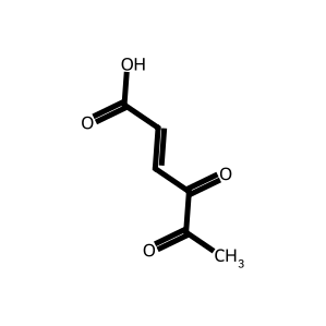 CC(=O)C(=O)C=CC(=O)O